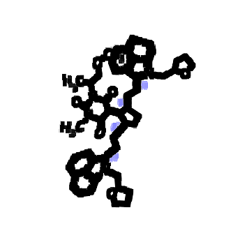 COCC(C)N1C(=O)C(=C2/C(=C/C=c3\c4cccc5cccc(c54)n3CC3CCCO3)CC/C2=C\C=c2/c3cccc4cccc(c43)n2CC2CCCO2)C(=O)N(C)C1=O